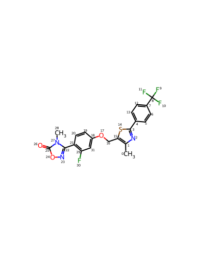 Cc1nc(-c2ccc(C(F)(F)F)cc2)sc1COc1ccc(-c2noc(=O)n2C)c(F)c1